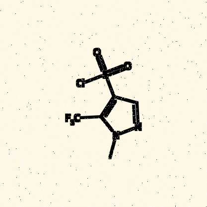 Cn1ncc(S(=O)(=O)Cl)c1C(F)(F)F